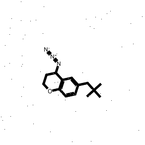 CC(C)(C)Cc1ccc2c(c1)C(N=[N+]=[N-])CCO2